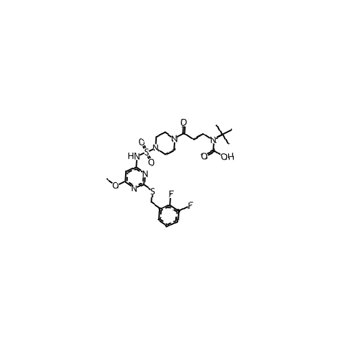 COc1cc(NS(=O)(=O)N2CCN(C(=O)CCN(C(=O)O)C(C)(C)C)CC2)nc(SCc2cccc(F)c2F)n1